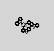 c1ccc(-c2nc(-c3cccc4oc5ccc(-c6cccc7c6sc6ccccc67)cc5c34)nc(-n3c4ccccc4c4ccccc43)n2)cc1